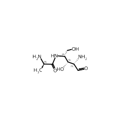 C[C@@H](N)C(=O)N[C@H](CO)[C@@H](O)[C@H](N)C=O